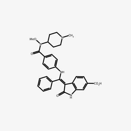 CON(C(=O)c1ccc(NC(=C2C(=O)Nc3cc(C(=O)O)ccc32)c2ccccc2)cc1)C1CCN(C)CC1